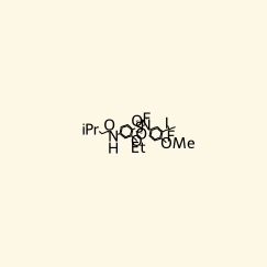 CCOc1cc(NC(=O)CC(C)C)ccc1S(=O)(=O)N(F)c1ccc(OC)c(C(C)(F)I)c1